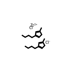 CCCCC1=CCC(C)=C1.CCCCC1=CCC(C)=C1.[Cl-].[Cl-].[Zr+2]